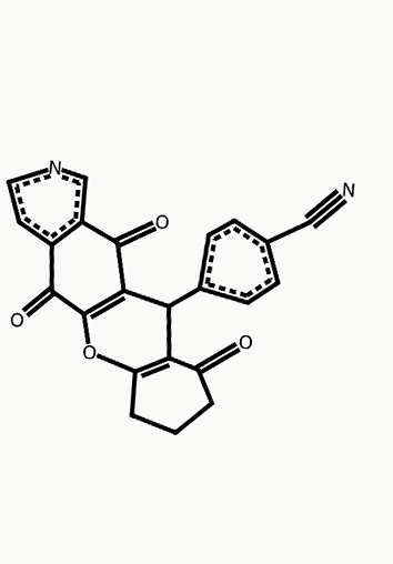 N#Cc1ccc(C2C3=C(CCCC3=O)OC3=C2C(=O)c2cnccc2C3=O)cc1